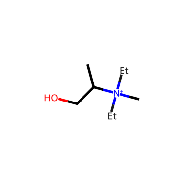 CC[N+](C)(CC)C(C)CO